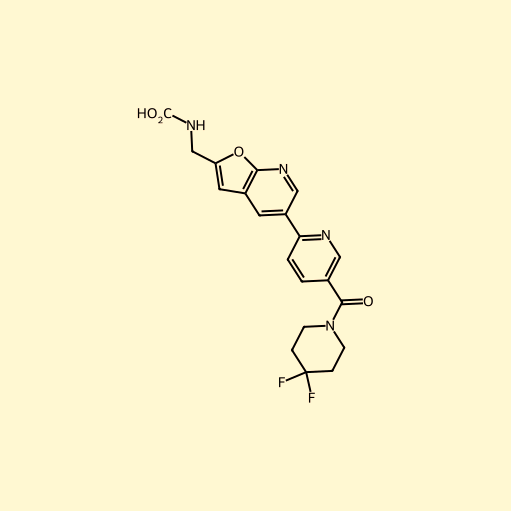 O=C(O)NCc1cc2cc(-c3ccc(C(=O)N4CCC(F)(F)CC4)cn3)cnc2o1